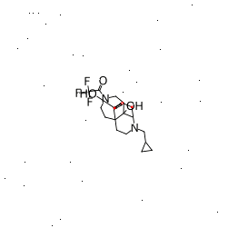 O=C(N1CCC23CCN(CC4CC4)C(Cc4ccc(O)cc42)C3(O)CC1)C(F)(F)F